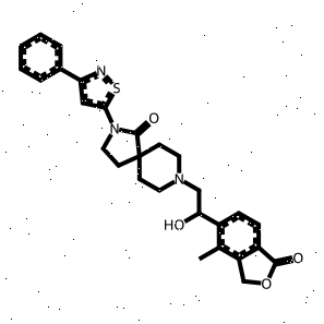 Cc1c(C(O)CN2CCC3(CC2)CCN(c2cc(-c4ccccc4)ns2)C3=O)ccc2c1COC2=O